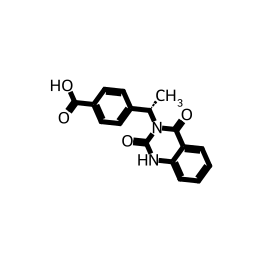 C[C@@H](c1ccc(C(=O)O)cc1)n1c(=O)[nH]c2ccccc2c1=O